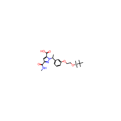 CNC(=O)c1cc(C(=O)O)n(C(C)c2cccc(OCCO[Si](C)(C)C(C)(C)C)c2)n1